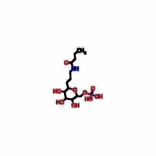 CCCC(=O)NCCCC1OC(COP(=O)(O)O)C(O)C(O)C1O